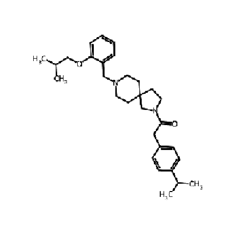 CC(C)COc1ccccc1CN1CCC2(CC1)CCN(C(=O)Cc1ccc(C(C)C)cc1)C2